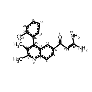 Cc1nc2ccc(C(=O)N=C(N)N)cc2c(-c2ccccc2Cl)c1C